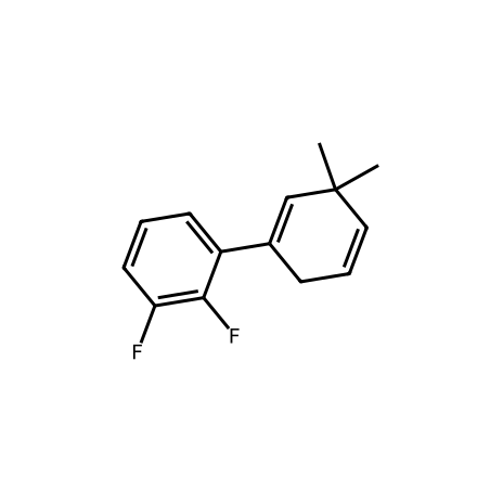 CC1(C)C=CCC(c2cccc(F)c2F)=C1